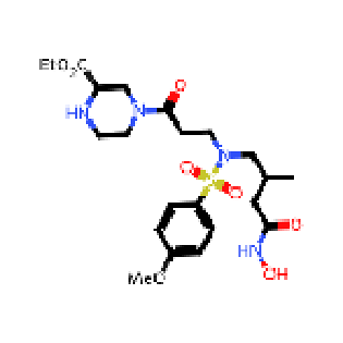 CCOC(=O)C1CN(C(=O)CCN(CC(C)CC(=O)NO)S(=O)(=O)c2ccc(OC)cc2)CCN1